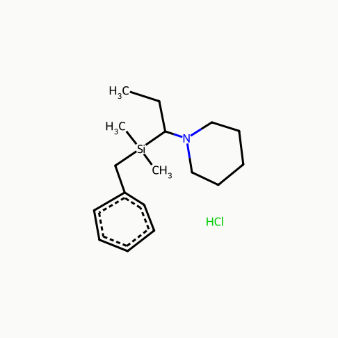 CCC(N1CCCCC1)[Si](C)(C)Cc1ccccc1.Cl